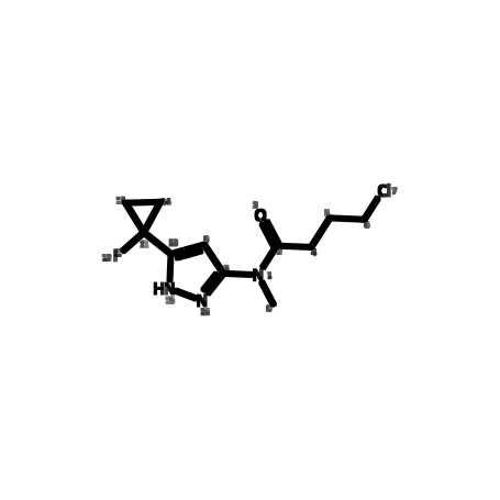 CN(C(=O)CCCCl)c1cc(C2(F)CC2)[nH]n1